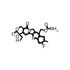 CC[C@@]1(O)C(=O)OCc2c1cc1n(c2=O)Cc2c-1nc1cc(F)c(C)cc1c2COC(N)=O